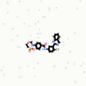 O=C(Nc1ccc(Cl)c(-c2ncc3ccccc3n2)c1)c1ccc(N2COCCS2(=O)=O)cc1